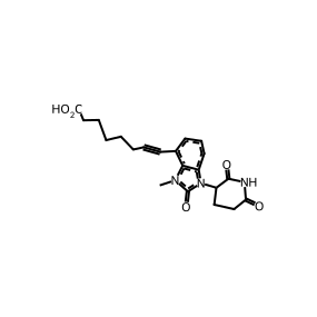 Cn1c(=O)n(C2CCC(=O)NC2=O)c2cccc(C#CCCCCCC(=O)O)c21